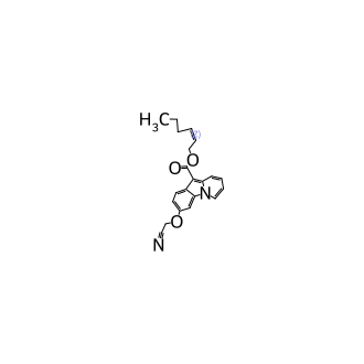 CCC/C=C\COC(=O)c1c2ccc(OCC#N)cc2n2ccccc12